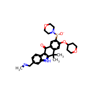 C=NCc1ccc2c3c([nH]c2c1)C(C)(C)c1cc(OC2CCOCC2)c([S+]([O-])N2CCOCC2)cc1C3=O